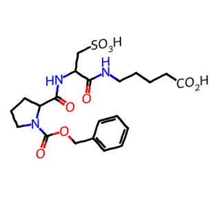 O=C(O)CCCCNC(=O)C(CS(=O)(=O)O)NC(=O)C1CCCN1C(=O)OCc1ccccc1